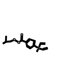 C=C[Si](C)(C=C)c1ccc(C(=O)OO[CH]C(C)C)cc1